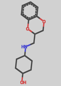 OC1CCC(NCC2COc3ccccc3O2)CC1